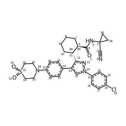 N#CC1(NC(=O)[C@@H]2CCCC[C@H]2c2nn(-c3ccc(Cl)cc3)cc2-c2ccc(N3CCS(=O)(=O)CC3)cc2)CC1